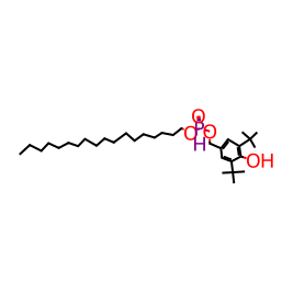 CCCCCCCCCCCCCCCCCCO[PH](=O)OCc1cc(C(C)(C)C)c(O)c(C(C)(C)C)c1